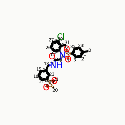 Cc1ccc(S(=O)(=O)N(CC(=O)NCc2cccc(S(C)(=O)=O)c2)c2cccc(Cl)c2C)cc1